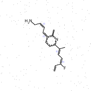 C=C/C(F)=C\C=C(/C)c1cc/c(=C/C=C\CN)c(=C)n1